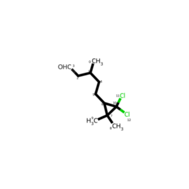 CC(CC=O)CCC1C(C)(C)C1(Cl)Cl